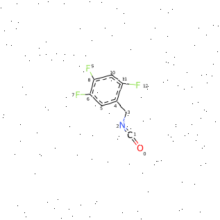 O=C=NCc1cc(F)c(F)cc1F